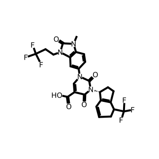 Cn1c(=O)n(CCC(F)(F)F)c2cc(-n3cc(C(=O)O)c(=O)n([C@@H]4CCC5=C4C=CCC5C(F)(F)F)c3=O)ccc21